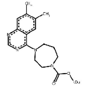 Cc1cc2ncnc(N3CCCN(C(=O)OC(C)(C)C)CC3)c2cc1C